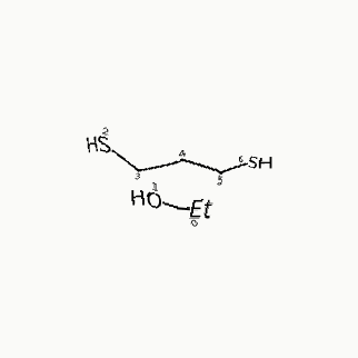 CCO.SCCCS